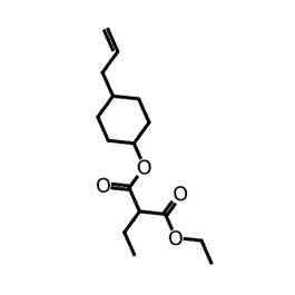 C=CCC1CCC(OC(=O)C(CC)C(=O)OCC)CC1